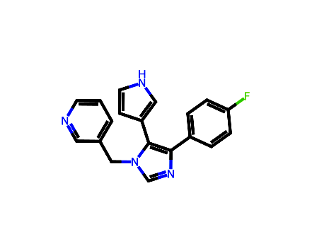 Fc1ccc(-c2ncn(Cc3cccnc3)c2-c2cc[nH]c2)cc1